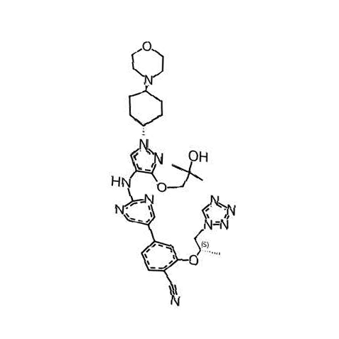 C[C@@H](Cn1cnnn1)Oc1cc(-c2cnc(Nc3cn([C@H]4CC[C@H](N5CCOCC5)CC4)nc3OCC(C)(C)O)nc2)ccc1C#N